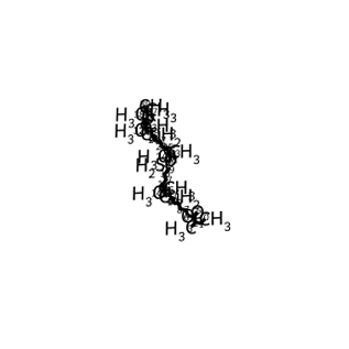 CCC(C)C(=O)OCCCC[SiH2]O[Si](C)(C)CCCC[SiH2]O[Si](C)(C)CCCC[SiH2]O[Si](C)(C)CO[Si](C)(C)C